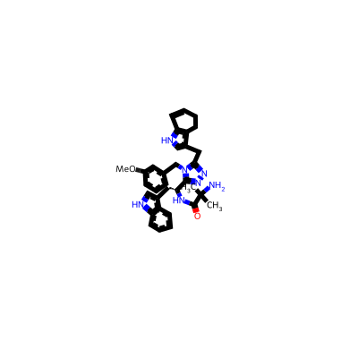 COc1cccc(Cn2c(Cc3c[nH]c4c3CCC=C4)nnc2[C@@H](Cc2c[nH]c3ccccc23)NC(=O)C(C)(C)N)c1